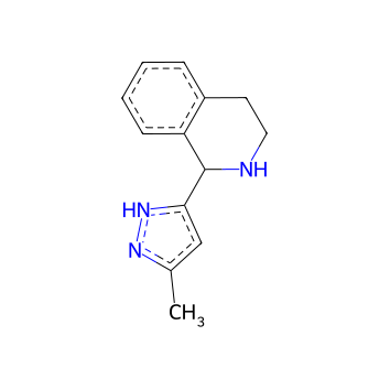 Cc1cc(C2NCCc3ccccc32)[nH]n1